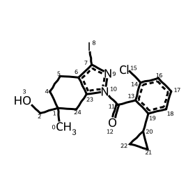 CC1(CO)CCc2c(I)nn(C(=O)c3c(Cl)cccc3C3CC3)c2C1